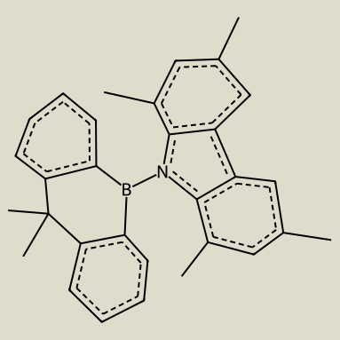 Cc1cc(C)c2c(c1)c1cc(C)cc(C)c1n2B1c2ccccc2C(C)(C)c2ccccc21